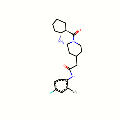 N[C@@H]1CCCC[C@H]1C(=O)N1CCC(CC(=O)Nc2ccc(F)cc2C(F)(F)F)CC1